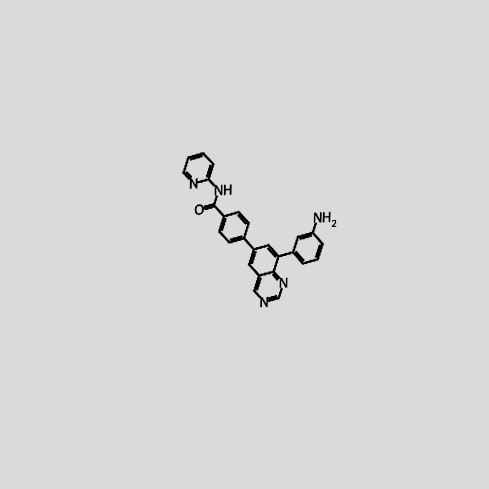 Nc1cccc(-c2cc(-c3ccc(C(=O)Nc4ccccn4)cc3)cc3cncnc23)c1